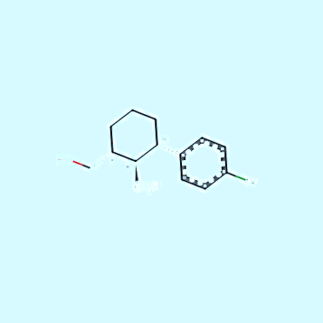 O=C(O)[C@H]1[C@H](CO)CCC[C@@H]1c1ccc(Br)cc1